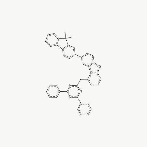 CC1(C)c2ccccc2-c2ccc(-c3ccc4oc5cccc(Cc6nc(-c7ccccc7)nc(-c7ccccc7)n6)c5c4c3)cc21